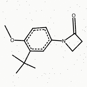 COc1ccc(N2CCC2=O)cc1C(C)(C)C